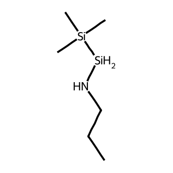 CCCN[SiH2][Si](C)(C)C